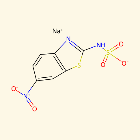 O=[N+]([O-])c1ccc2nc(NS(=O)(=O)[O-])sc2c1.[Na+]